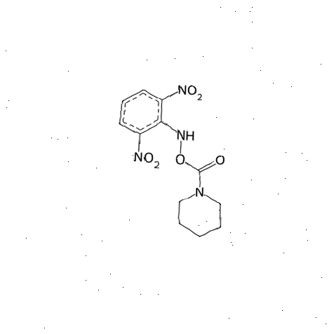 O=C(ONc1c([N+](=O)[O-])cccc1[N+](=O)[O-])N1CCCCC1